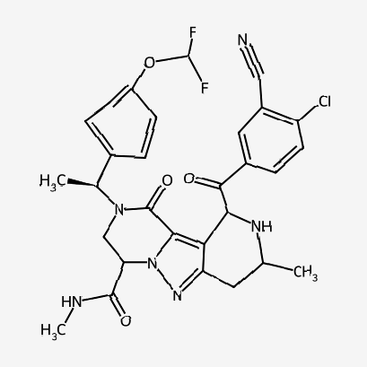 CNC(=O)C1CN([C@@H](C)c2ccc(OC(F)F)cc2)C(=O)c2c3c(nn21)CC(C)NC3C(=O)c1ccc(Cl)c(C#N)c1